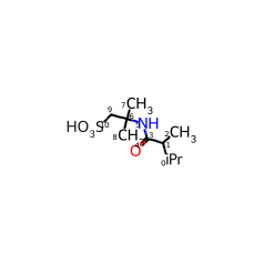 CC(C)C(C)C(=O)NC(C)(C)CS(=O)(=O)O